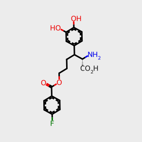 N[C@H](C(=O)O)C(CCCOC(=O)c1ccc(F)cc1)c1ccc(O)c(O)c1